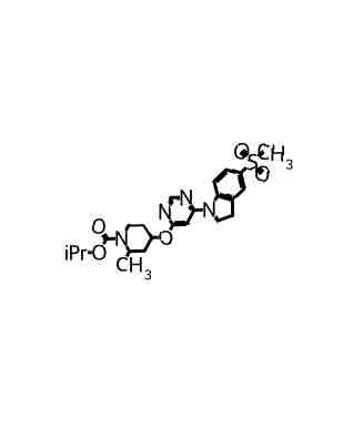 CC(C)OC(=O)N1CCC(Oc2cc(N3CCc4cc(S(C)(=O)=O)ccc43)ncn2)CC1C